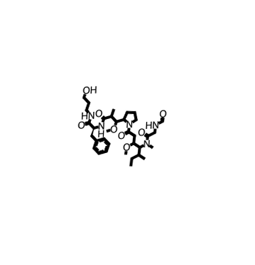 CCC(C)C(C(CC(=O)N1CCCC1C(OC)C(C)C(=O)N[C@@H](Cc1ccccc1)C(=O)NCCCO)OC)N(C)C(=O)CNC=O